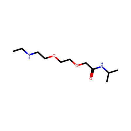 CCNCCOCCOCC(=O)NC(C)C